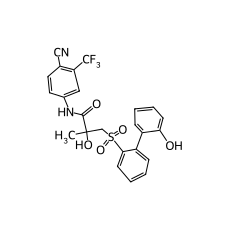 CC(O)(CS(=O)(=O)c1ccccc1-c1ccccc1O)C(=O)Nc1ccc(C#N)c(C(F)(F)F)c1